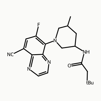 CC1CC(NC(=O)CC(C)(C)C)CN(c2c(F)cc(C#N)c3nccnc23)C1